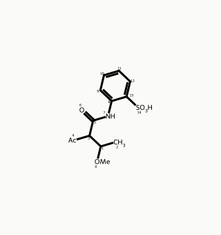 COC(C)C(C(C)=O)C(=O)Nc1ccccc1S(=O)(=O)O